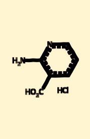 Cl.Nc1ncccc1C(=O)O